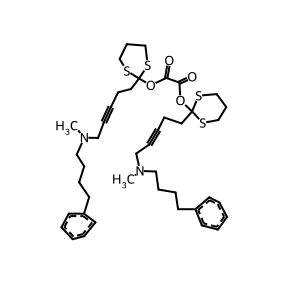 CN(CC#CCCC1(OC(=O)C(=O)OC2(CCC#CCN(C)CCCCc3ccccc3)SCCCS2)SCCCS1)CCCCc1ccccc1